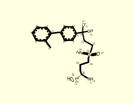 Cc1ccccc1-c1ccc(C(O)(CCS(=N)(=O)CC[C@H](N)C(=O)O)C(F)(F)F)cc1